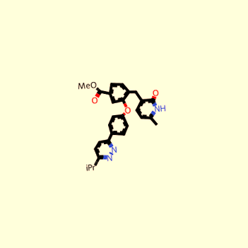 COC(=O)c1ccc(Cc2ccc(C)[nH]c2=O)c(Oc2ccc(-c3ccc(C(C)C)nn3)cc2)c1